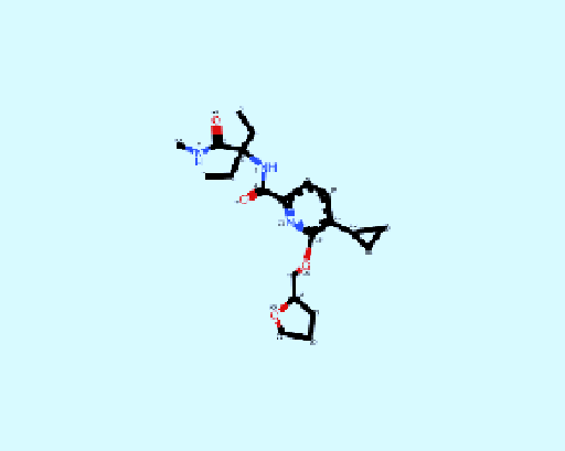 CCC(CC)(NC(=O)c1ccc(C2CC2)c(OCC2CCCO2)n1)C(=O)NC